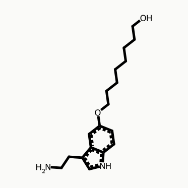 NCCc1c[nH]c2ccc(OCCCCCCCCO)cc12